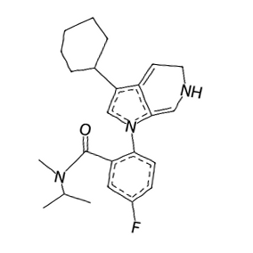 CC(C)N(C)C(=O)c1cc(F)ccc1-n1cc(C2CCCCC2)c2c1=CNCC=2